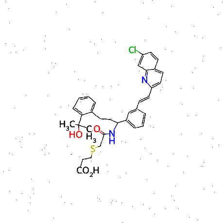 CC(C)(O)c1ccccc1CCC(NC(=O)CSCCC(=O)O)c1cccc(C=Cc2ccc3ccc(Cl)cc3n2)c1